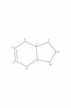 [CH]1CC2CC=CCC2C1